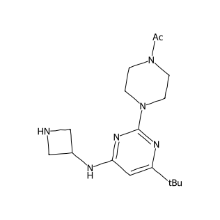 CC(=O)N1CCN(c2nc(NC3CNC3)cc(C(C)(C)C)n2)CC1